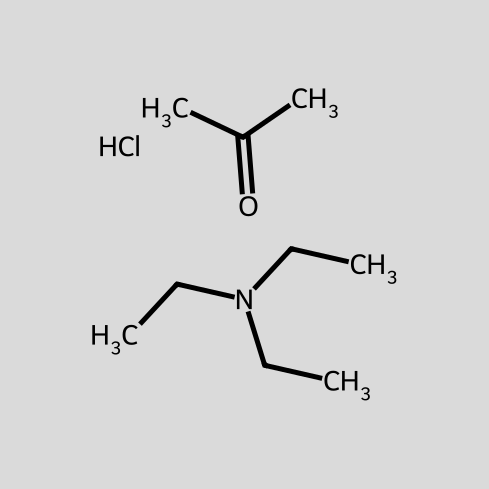 CC(C)=O.CCN(CC)CC.Cl